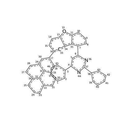 c1ccc(-c2cc(-c3cccc4oc5ccc(-c6cc7ccc8cccc9ccc(c6)c7c89)cc5c34)nc(-c3ccccc3)n2)cc1